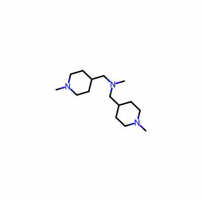 CN1CCC(CN(C)CC2CCN(C)CC2)CC1